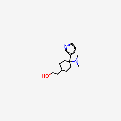 CN(C)C1(c2cccnc2)CCC(CCO)CC1